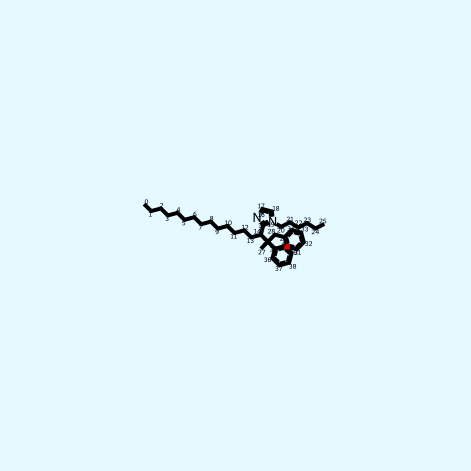 CCCCCCCCCCCCCCC(c1nccn1CCCCCC)C(C)(Cc1ccccc1)c1ccccc1